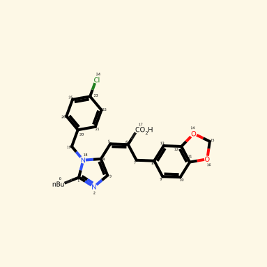 CCCCc1ncc(/C=C(\Cc2ccc3c(c2)OCO3)C(=O)O)n1Cc1ccc(Cl)cc1